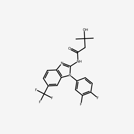 CC(C)(O)CC(=O)Nc1nc2ccc(C(F)(F)F)cc2n1-c1ccc(F)c(F)c1